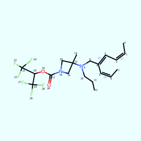 C\C=C/C=C(\C=C/C)CN(CCC)C1(C)CN(C(=O)OC(C(F)(F)F)C(F)(F)F)C1